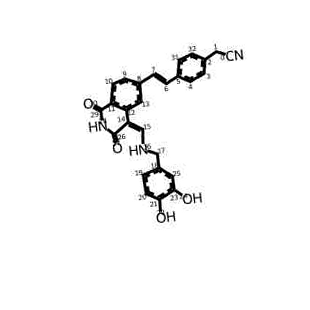 N#CCc1ccc(C=Cc2ccc3c(c2)C(=CNCc2ccc(O)c(O)c2)C(=O)NC3=O)cc1